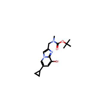 CN(Cc1cn2cc(C3CC3)cc(Br)c2n1)C(=O)OC(C)(C)C